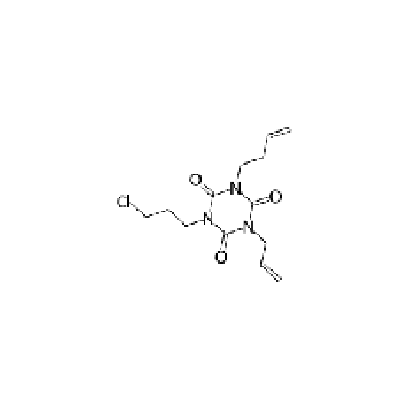 C=CCCn1c(=O)n(CC=C)c(=O)n(CCCCl)c1=O